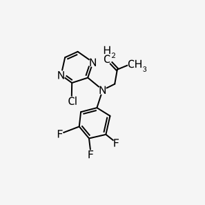 C=C(C)CN(c1cc(F)c(F)c(F)c1)c1nccnc1Cl